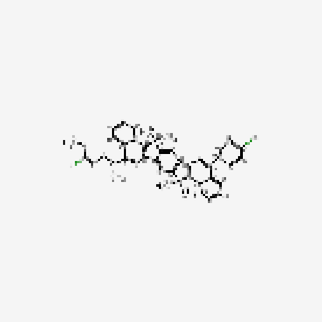 CC/C(F)=C\CC(C)C1=CC2=C(C3CC=CC=C13)C(C)(C)c1cc3c(cc12)C(C)(C)C1=C3C=C(c2ccc(F)cc2)C2=CC=CCC21